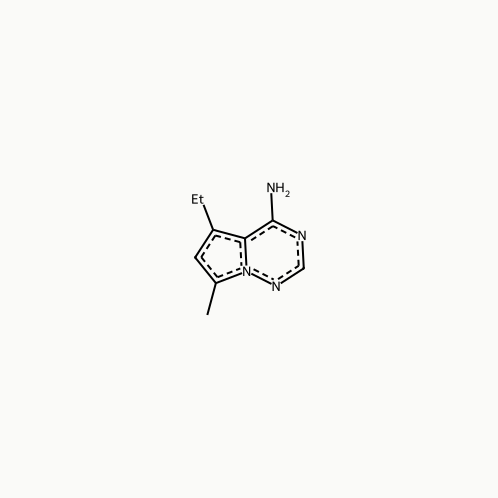 CCc1cc(C)n2ncnc(N)c12